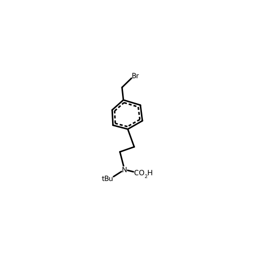 CC(C)(C)N(CCc1ccc(CBr)cc1)C(=O)O